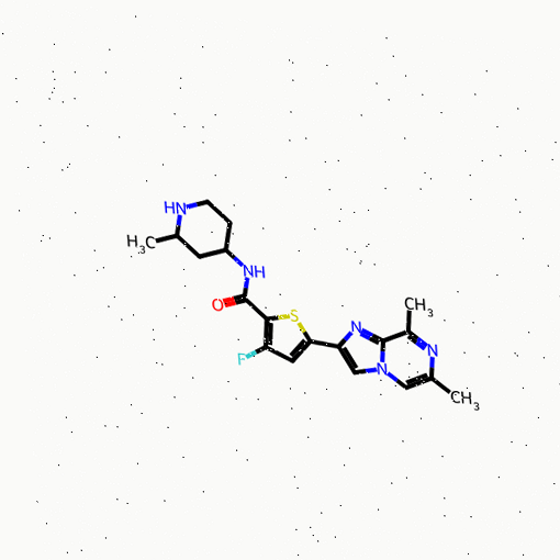 Cc1cn2cc(-c3cc(F)c(C(=O)NC4CCNC(C)C4)s3)nc2c(C)n1